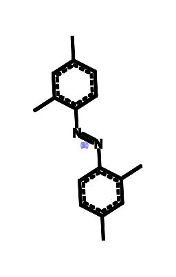 Cc1ccc(/N=N/c2ccc(C)cc2C)c(C)c1